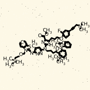 COC(=O)c1nc(N(CCCC(C[N+](C)(C)C)O[Si](c2ccccc2)(c2ccccc2)C(C)(C)C)c2cc(C)c(/N=c3\sc4ccccc4n3COCC[Si](C)(C)C)nn2)sc1CCCOc1ccc(C#CCN(C)C)cc1F